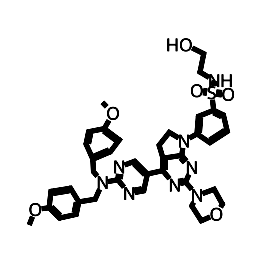 COc1ccc(CN(Cc2ccc(OC)cc2)c2ncc(-c3nc(N4CCOCC4)nc4c3CCN4c3cccc(S(=O)(=O)NCCO)c3)cn2)cc1